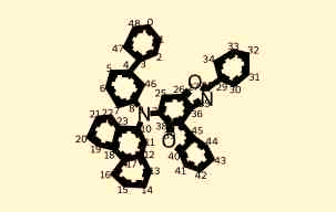 c1ccc(-c2cccc(N(c3cc4ccccc4c4ccccc34)c3cc4oc(-c5ccccc5)nc4c4c3oc3ccccc34)c2)cc1